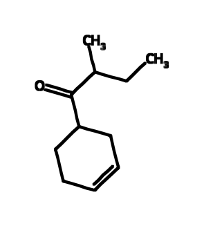 CCC(C)C(=O)C1CC=CCC1